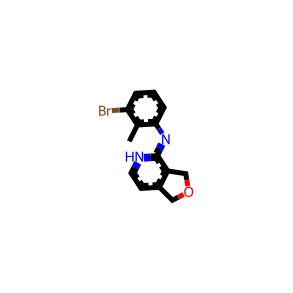 Cc1c(Br)cccc1/N=c1\[nH]ccc2c1COC2